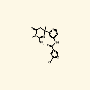 CN1C(=O)CC(C)(c2cc(NC(=O)c3coc(Cl)n3)ccn2)N=C1N